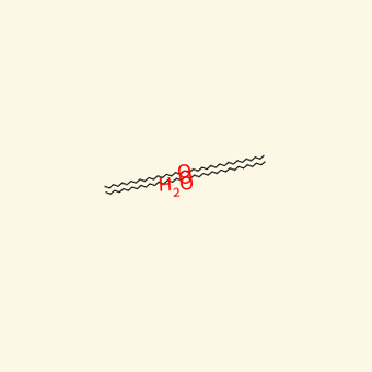 CCCCCCCCCCCCCCCCCCOCCCCCCCCCCCCCCCCCC.CCCCCCCCCCCCCCCCCCOCCCCCCCCCCCCCCCCCC.O